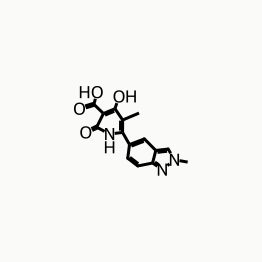 Cc1c(-c2ccc3nn(C)cc3c2)[nH]c(=O)c(C(=O)O)c1O